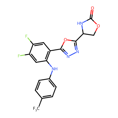 O=C1NC(c2nnc(-c3cc(F)c(F)cc3Nc3ccc(C(F)(F)F)cc3)o2)CO1